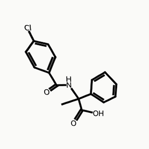 CC(NC(=O)c1ccc(Cl)cc1)(C(=O)O)c1ccccc1